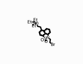 CC[Si](CC)(CC)OCCc1ccc2c3c(cccc13)N(CCBr)S2(=O)=O